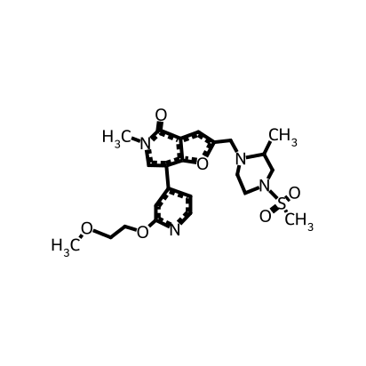 COCCOc1cc(-c2cn(C)c(=O)c3cc(CN4CCN(S(C)(=O)=O)CC4C)oc23)ccn1